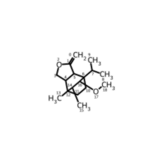 C=C1OCC2C1C1(C(C)C)CCC2(C)C(C)C1OC